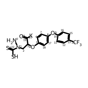 NN(CC(Oc1ccc(Oc2ccc(C(F)(F)F)cc2)cc1)[C](=O)[K])C(=S)S